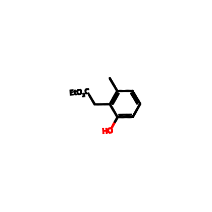 CCOC(=O)Cc1c(C)cccc1O